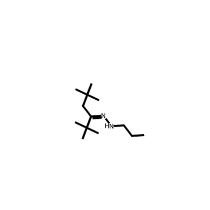 CCCNN=C(CC(C)(C)C)C(C)(C)C